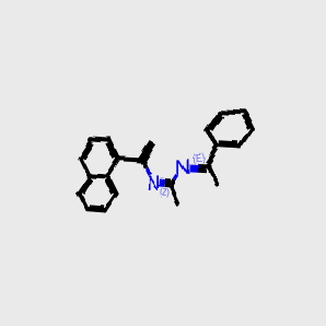 C=C(/N=C(C)\N=C(/C)c1ccccc1)c1cccc2ccccc12